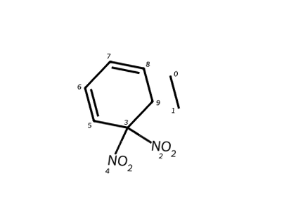 CC.O=[N+]([O-])C1([N+](=O)[O-])C=CC=CC1